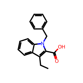 CCc1c(C(=O)O)n(Cc2ccccc2)c2ccccc12